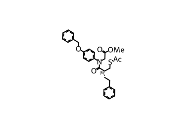 COC(=O)CN(C(=O)[C@@H](CCc1ccccc1)CSC(C)=O)c1ccc(OCc2ccccc2)cc1